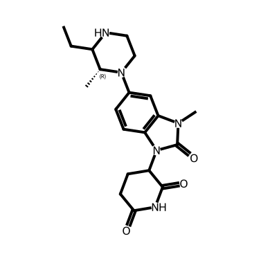 CCC1NCCN(c2ccc3c(c2)n(C)c(=O)n3C2CCC(=O)NC2=O)[C@@H]1C